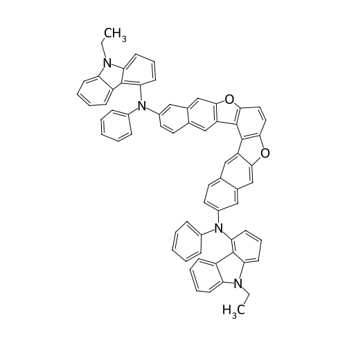 CCn1c2ccccc2c2c(N(c3ccccc3)c3ccc4cc5c(cc4c3)oc3ccc4oc6cc7cc(N(c8ccccc8)c8cccc9c8c8ccccc8n9CC)ccc7cc6c4c35)cccc21